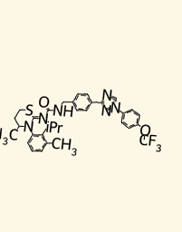 Cc1cccc(N2/C(=N/C(=O)NCc3ccc(-c4ncn(-c5ccc(OC(F)(F)F)cc5)n4)cc3)SCCC2C)c1C(C)C